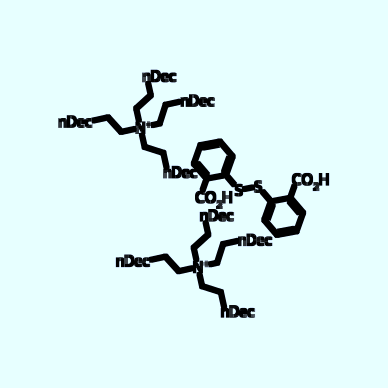 CCCCCCCCCCCC[N+](CCCCCCCCCCCC)(CCCCCCCCCCCC)CCCCCCCCCCCC.CCCCCCCCCCCC[N+](CCCCCCCCCCCC)(CCCCCCCCCCCC)CCCCCCCCCCCC.O=C(O)c1ccccc1SSc1ccccc1C(=O)O